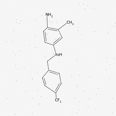 Cc1cc([AsH]Cc2ccc(C(F)(F)F)cc2)ccc1N